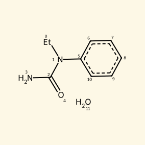 CCN(C(N)=O)c1ccccc1.O